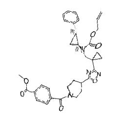 C=CCOC(=O)N(CC1(c2noc(C3CCN(C(=O)c4ccc(C(=O)OC)cc4)CC3)n2)CC1)[C@H]1C[C@@H]1c1ccccc1